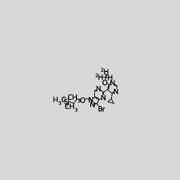 [2H]C([2H])([2H])Oc1ncnc(C2CC2)c1-c1ncc2c(n1)c(Br)nn2COCC[Si](C)(C)C